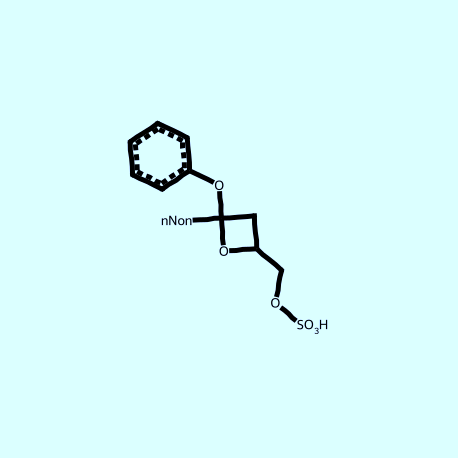 CCCCCCCCCC1(Oc2ccccc2)CC(COS(=O)(=O)O)O1